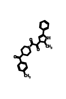 Cc1ccc(C(=O)C2CCN(C(=O)C(=O)C3C=C(c4ccccc4)NC3C)CC2)cc1